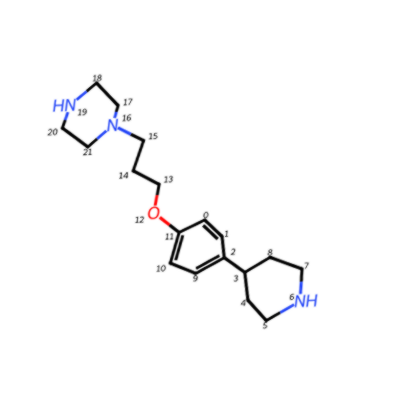 c1cc(C2CCNCC2)ccc1OCCCN1CCNCC1